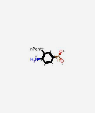 CCCCCc1cc([SH](=O)=O)ccc1N